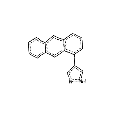 [c]1n[nH]cc1-c1cccc2cc3ccccc3cc12